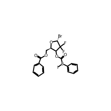 O=C(OC1[C@@H](COC(=O)c2ccccc2)O[C@H](Br)C1(F)F)B(I)c1ccccc1